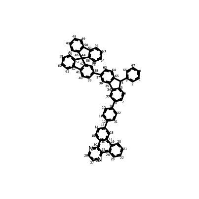 c1ccc(C2c3ccc(-c4ccc(-c5ccc6c(c5)c5ccccc5c5nccnc65)cc4)cc3-c3cc(-c4ccc5c(c4)C4(c6ccccc6-c6ccccc64)c4ccccc4-5)ccc32)cc1